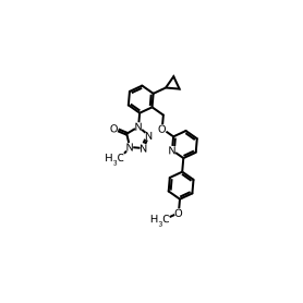 COc1ccc(-c2cccc(OCc3c(C4CC4)cccc3-n3nnn(C)c3=O)n2)cc1